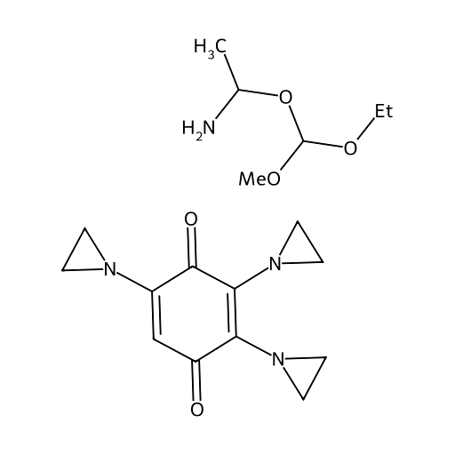 CCOC(OC)OC(C)N.O=C1C=C(N2CC2)C(=O)C(N2CC2)=C1N1CC1